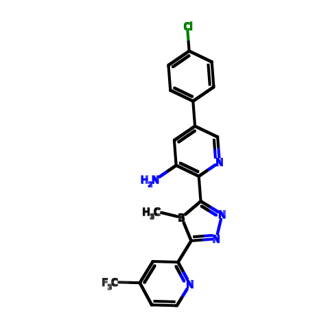 CB1C(c2cc(C(F)(F)F)ccn2)=NN=C1c1ncc(-c2ccc(Cl)cc2)cc1N